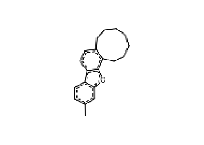 Cc1ccc2c(c1)oc1c3c(ccc12)CCCCCCC3